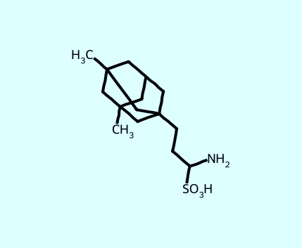 CC12CC3CC(C)(C1)CC(CCC(N)S(=O)(=O)O)(C3)C2